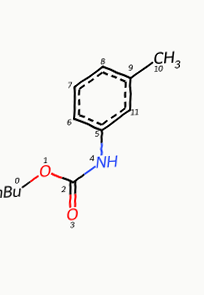 CCCCOC(=O)Nc1cccc(C)c1